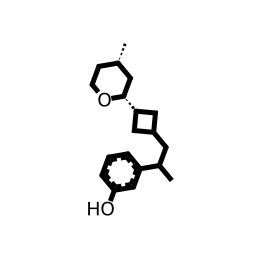 CC(CC1CC([C@H]2C[C@@H](C)CCO2)C1)c1cccc(O)c1